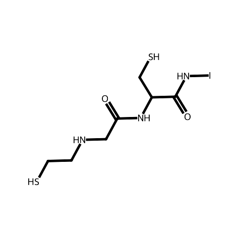 O=C(CNCCS)NC(CS)C(=O)NI